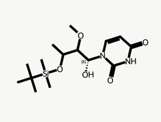 COC(C(C)O[Si](C)(C)C(C)(C)C)[C@@H](O)n1ccc(=O)[nH]c1=O